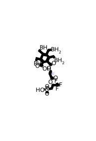 BCc1c(CB)c(CB)c(C(=O)O/C=C/C(=O)OC(CS(=O)(=O)O)C(F)(F)F)c(C(=O)O)c1CB